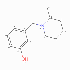 CC1CCCCN1Cc1cccc(O)c1